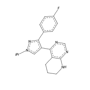 CC(C)n1cc(-c2ncnc3c2CCCN3)c(-c2ccc(F)cc2)n1